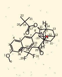 COc1ccc2cc(CN3[C@@H]4CC5C[C@H]3[C@H](OC(=O)C(C)(C)C)C4N(C(=O)CC(F)(F)F)C5)ccc2c1